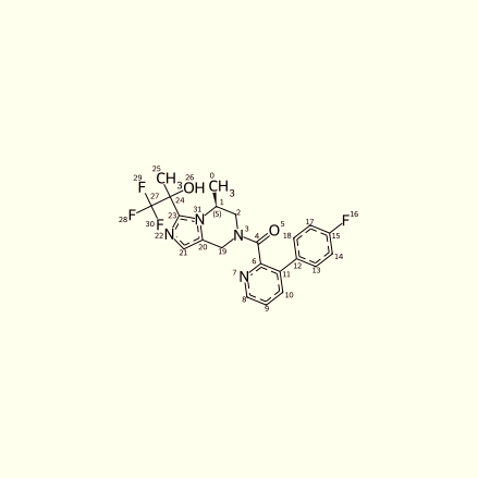 C[C@H]1CN(C(=O)c2ncccc2-c2ccc(F)cc2)Cc2cnc(C(C)(O)C(F)(F)F)n21